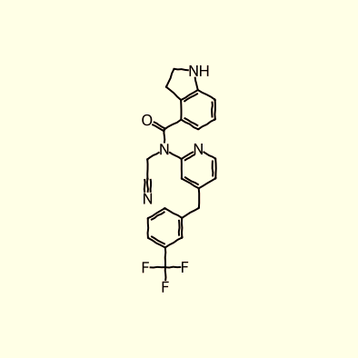 N#CCN(C(=O)c1cccc2c1CCN2)c1cc(Cc2cccc(C(F)(F)F)c2)ccn1